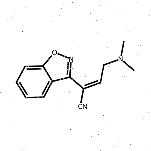 CN(C)C/C=C(/C#N)c1noc2ccccc12